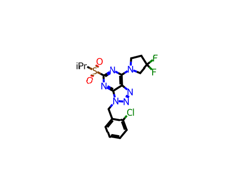 CC(C)S(=O)(=O)c1nc(N2CCC(F)(F)C2)c2nnn(Cc3ccccc3Cl)c2n1